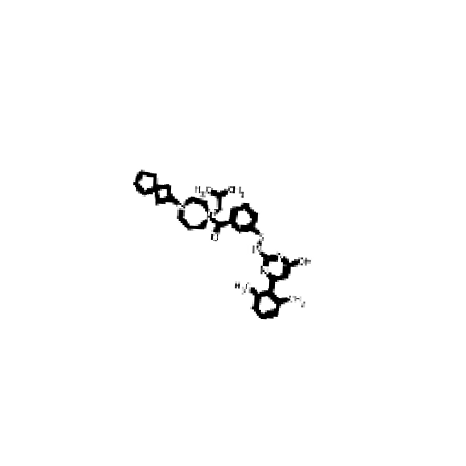 Cc1cccc(C)c1-c1cc(O)nc(NSc2cccc(C(=O)[N+]3(CC(C)C)CCCN(C4CC5(CCCC5)C4)CC3)c2)n1